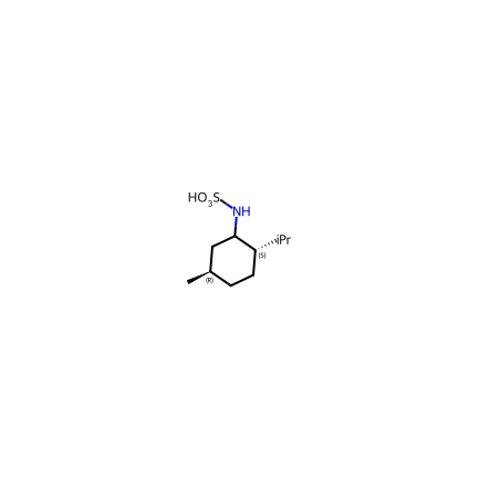 CC(C)[C@@H]1CC[C@@H](C)CC1NS(=O)(=O)O